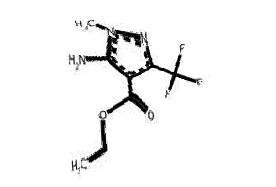 CCOC(=O)c1c(C(F)(F)F)nn(C)c1N